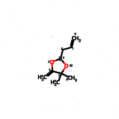 C=CCB1OC(=C)C(C)(C)O1